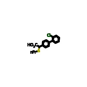 CCCSC(C(=O)O)c1ccc(-c2ccccc2Cl)cc1